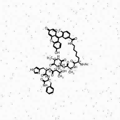 CC(=O)N[C@H](CCCCCNC(=O)c1ccc(C(=O)O)c(-c2c3ccc(=O)cc-3oc3cc(O)ccc23)c1)C(=O)N[C@H](C)C(=O)N[C@H](C)C(=O)N[C@H](C)C(=O)N[C@@H](C(=O)N[C@H](Cc1c[nH]cn1)C(=O)N[C@H](Cc1ccccc1)C(N)=O)[C@H](C)O